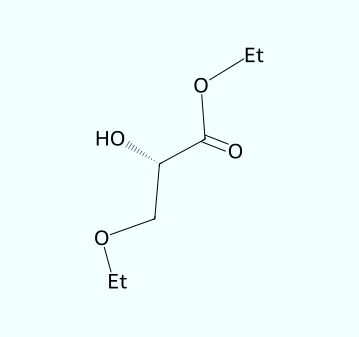 CCOC[C@H](O)C(=O)OCC